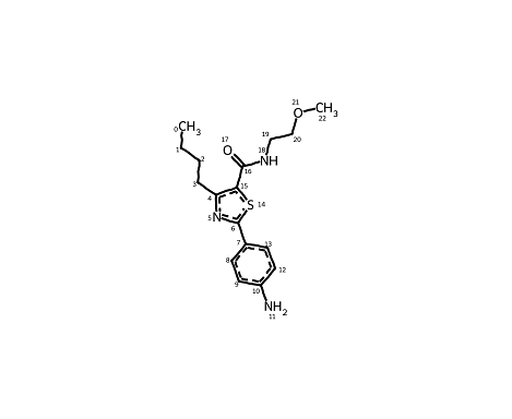 CCCCc1nc(-c2ccc(N)cc2)sc1C(=O)NCCOC